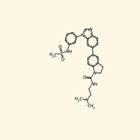 CN(C)CCNC(=O)N1CCc2cc(-c3ccc4ncn(-c5cccc(NS(C)(=O)=O)c5)c4c3)ccc21